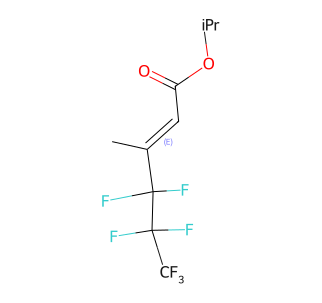 C/C(=C\C(=O)OC(C)C)C(F)(F)C(F)(F)C(F)(F)F